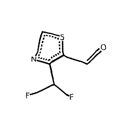 O=Cc1scnc1C(F)F